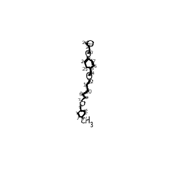 Cc1ccc(COCCCCCCOCC2C=CC(OCC3CO3)=CC2)cc1